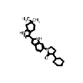 CC1(C)CCc2c(-c3cc4ccc(N5CCC(C6CCCCC6)C5=O)cc4[nH]3)n[nH]c2C1